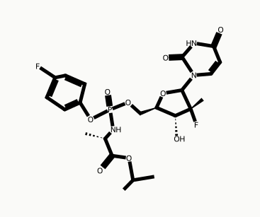 CC(C)OC(=O)[C@H](C)NP(=O)(OC[C@H]1OC(n2ccc(=O)[nH]c2=O)[C@](C)(F)[C@@H]1O)Oc1ccc(F)cc1